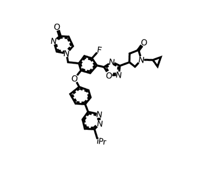 CC(C)c1ccc(-c2ccc(Oc3cc(-c4nc(C5CC(=O)N(C6CC6)C5)no4)c(F)cc3Cn3ccc(=O)nc3)cc2)nn1